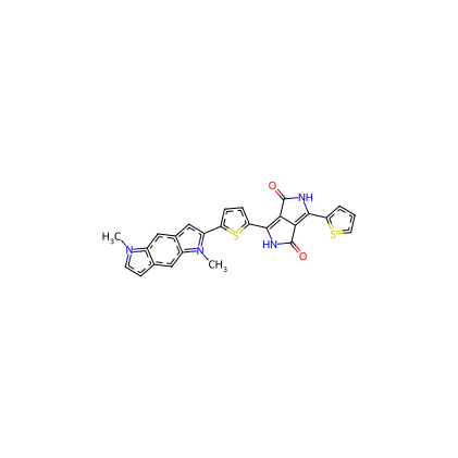 Cn1ccc2cc3c(cc(-c4ccc(C5=C6C(=O)NC(c7cccs7)=C6C(=O)N5)s4)n3C)cc21